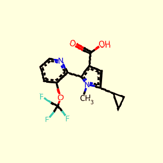 Cn1c(C2CC2)cc(C(=O)O)c1-c1ncccc1OC(F)(F)F